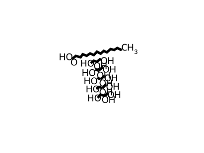 CCCCCCCCCCCCCCCC(=O)O.OCC(O)CO.OCC(O)CO.OCC(O)CO.OCC(O)CO.OCC(O)CO